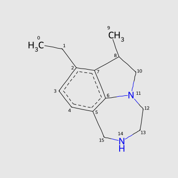 CCc1ccc2c3c1C(C)CN3CCNC2